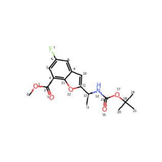 COC(=O)c1cc(F)cc2cc(C(C)NC(=O)OC(C)(C)C)oc12